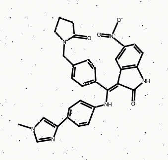 Cn1cnc(-c2ccc(N/C(=C3\C(=O)Nc4ccc([N+](=O)[O-])cc43)c3ccc(CN4CCCC4=O)cc3)cc2)c1